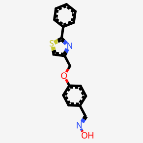 ON=Cc1ccc(OCc2csc(-c3ccccc3)n2)cc1